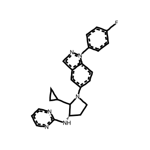 Fc1ccc(-n2ncc3cc(N4CC[C@H](Nc5ncccn5)C4C4CC4)ccc32)cc1